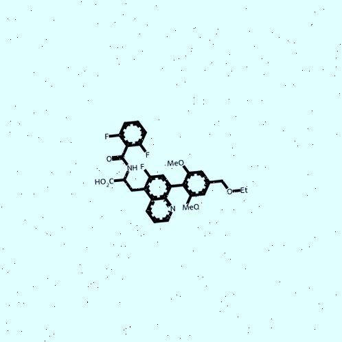 CCOCc1cc(OC)c(-c2cc(F)c(CC(NC(=O)c3c(F)cccc3F)C(=O)O)c3cccnc23)c(OC)c1